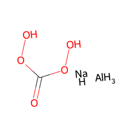 O=C(OO)OO.[AlH3].[NaH]